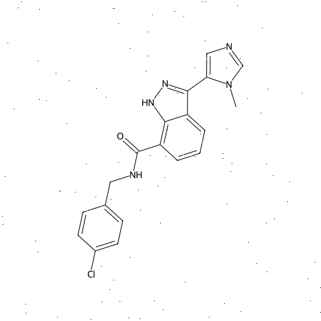 Cn1cncc1-c1n[nH]c2c(C(=O)NCc3ccc(Cl)cc3)cccc12